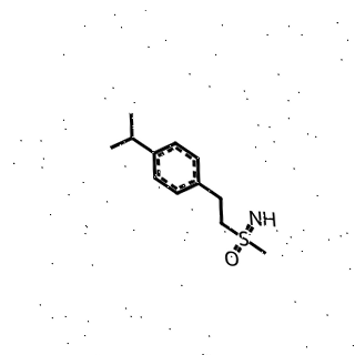 CC(C)c1ccc(CCS(C)(=N)=O)cc1